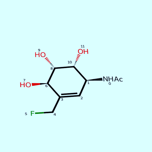 CC(=O)N[C@H]1C=C(CF)[C@@H](O)[C@H](O)[C@@H]1O